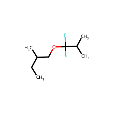 CCC(C)COC(F)(F)C(C)C